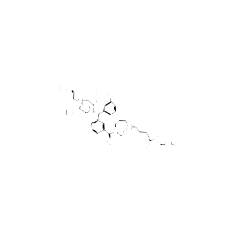 C=CCN1C[C@H](C)N([C@@H](c2cccc(O)c2)c2cccc(C(=O)N3CCCN(CCCC(=O)OCC)CC3)c2)C[C@H]1C